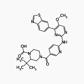 COc1cnc(Nc2ccc(C(=O)N3CCN(C(=O)O)C(C(C)(C)C)C3)cn2)nc1-c1ccc2ncsc2c1